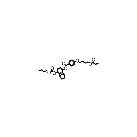 C=CC(=O)OCCCCOc1ccc(C(=O)Oc2ccc(OC(=O)OCCCC)c3c2C2CCC3C2)cc1